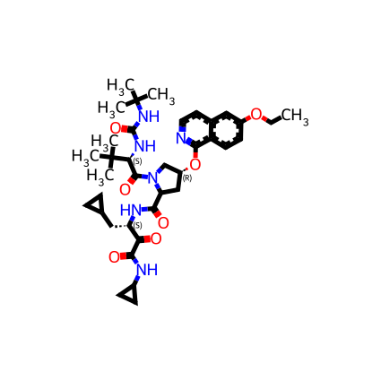 CCOc1ccc2c(O[C@@H]3CC(C(=O)N[C@@H](CC4CC4)C(=O)C(=O)NC4CC4)N(C(=O)[C@@H](NC(=O)NC(C)(C)C)C(C)(C)C)C3)nccc2c1